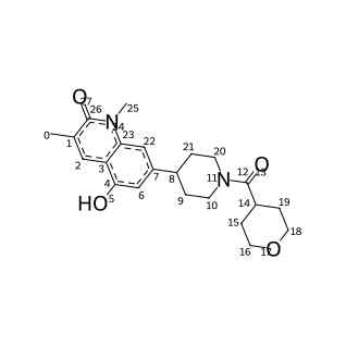 Cc1cc2c(O)cc(C3CCN(C(=O)C4CCOCC4)CC3)cc2n(C)c1=O